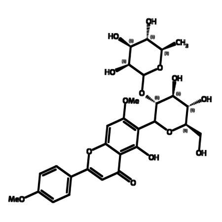 COc1ccc(-c2cc(=O)c3c(O)c(C4O[C@H](CO)[C@@H](O)[C@H](O)[C@H]4OC4O[C@H](C)[C@@H](O)[C@H](O)[C@@H]4O)c(OC)cc3o2)cc1